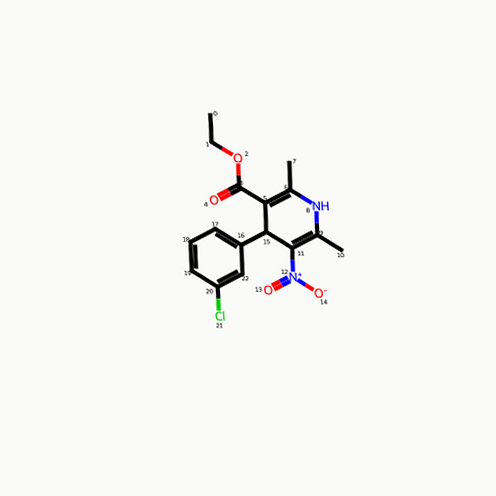 CCOC(=O)C1=C(C)NC(C)=C([N+](=O)[O-])C1c1cccc(Cl)c1